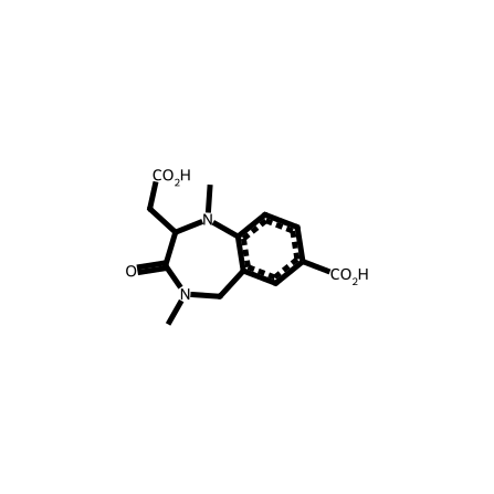 CN1Cc2cc(C(=O)O)ccc2N(C)C(CC(=O)O)C1=O